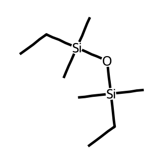 CC[Si](C)(C)O[Si](C)(C)CC